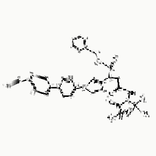 CNC(=O)[C@@H](NC(=O)C[C@H](C(=O)OCc1ccccc1)c1ccn(-c2ccc(-c3ccc(C#N)cc3)cc2)c1)C(C)(C)C